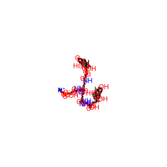 C[C@H](CCC(=O)N[C@@H](CCC(=O)N[C@@H](CCCCNC(=O)[C@H](CCCCNC(=O)CCC(=O)OCC(=O)[C@@]1(O)[C@H](C)C[C@H]2[C@@H]3CCC4=CC(=O)C=C[C@]4(C)[C@@]3(F)[C@@H](O)C[C@@]21C)NC(=O)CCC(=O)OCC(O)COP(=O)([O-])OCC[N+](C)(C)C)C(N)=O)C(=O)O)[C@H]1CC[C@H]2C3[C@H](O)C[C@@H]4C[C@H](O)CC[C@]4(C)[C@H]3C[C@H](O)[C@]12C